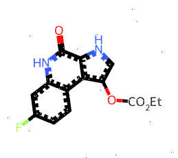 CCOC(=O)Oc1c[nH]c2c(=O)[nH]c3cc(F)ccc3c12